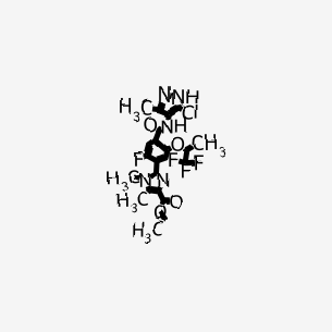 CCOC(=O)c1nc(-c2cc(OC(C)C(F)(F)F)c(C(=O)Nc3c(C)n[nH]c3Cl)cc2F)n(C)c1C